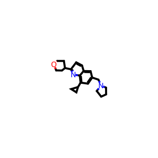 c1cc2cc(CN3CCCC3)cc(C3CC3)c2nc1C1CCOCC1